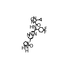 O=C(N[C@H](c1cn2ncc(C[C@@]34CC[C@@H](C3)NC4=O)cc2n1)C1CCC(F)(F)CC1)c1nonc1C1CC1